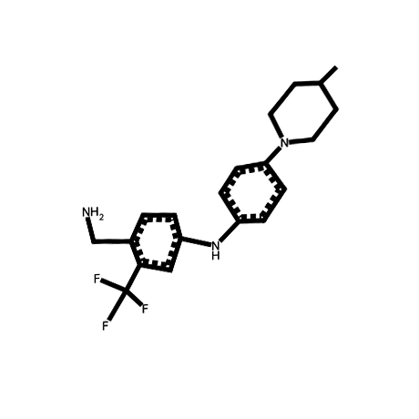 CC1CCN(c2ccc(Nc3ccc(CN)c(C(F)(F)F)c3)cc2)CC1